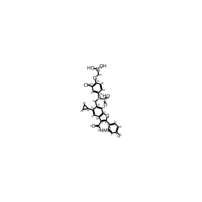 CNC(=O)c1c(-c2ccc(F)cc2)oc2cc(CN(c3ccc(OCB(O)O)c(Cl)c3)[SH](=O)=O)c(C3CC3)cc12